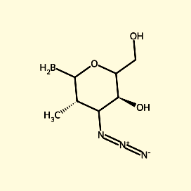 BC1OC(CO)[C@@H](O)C(N=[N+]=[N-])[C@@H]1C